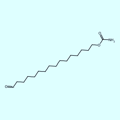 NC(=O)OCCCCCCCCCCCCCCC[C]=O